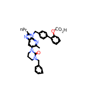 CCCc1nc2cc(N3CCCN(Cc4ccccc4)C3=O)c(C)nc2n1Cc1ccc(-c2ccccc2OC(=O)O)cc1